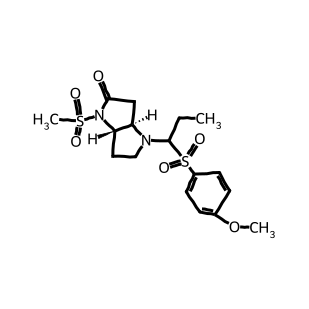 CCC(N1CC[C@H]2[C@H]1CC(=O)N2S(C)(=O)=O)S(=O)(=O)c1ccc(OC)cc1